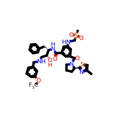 Cc1csc([C@H]2CCCN2C(=O)c2cc(NCS(C)(=O)=O)cc(C(=O)N[C@@H](Cc3ccccc3)[C@H](O)CNCc3cccc(OC(F)(F)F)c3)c2)n1